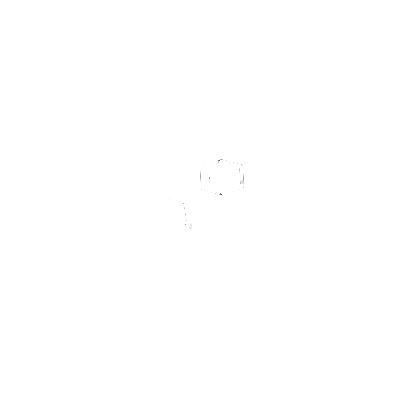 CCCC(N)C1CC2C=CC1C2